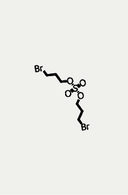 O=S(=O)(OCCCBr)OCCCBr